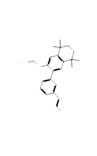 COCOc1cc2c(cc1-c1cccc(C=CC(=O)O)c1)C(C)(C)CCC2(C)C